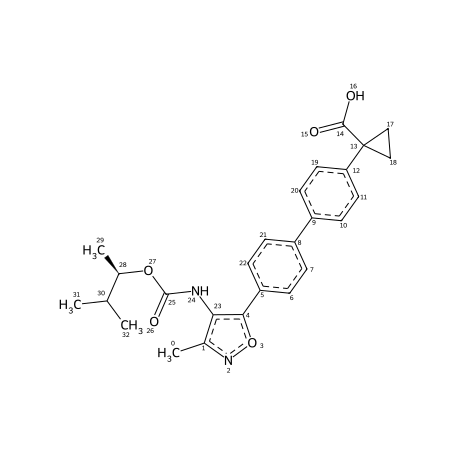 Cc1noc(-c2ccc(-c3ccc(C4(C(=O)O)CC4)cc3)cc2)c1NC(=O)O[C@H](C)C(C)C